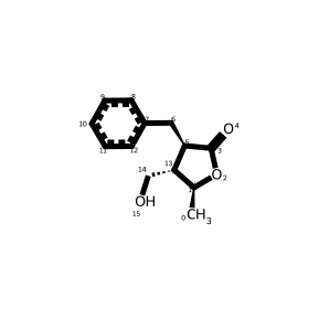 C[C@@H]1OC(=O)[C@H](Cc2ccccc2)[C@H]1CO